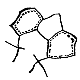 CC(C)(C)c1cc[c]c2c1-c1c(cccc1C(C)(C)C)C2